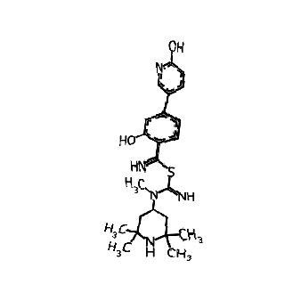 CN(C(=N)SC(=N)c1ccc(-c2ccc(O)nc2)cc1O)C1CC(C)(C)NC(C)(C)C1